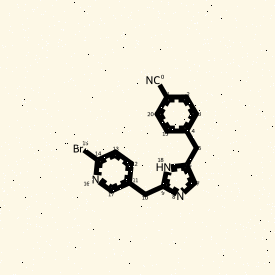 N#Cc1ccc(Cc2cnc(Cc3ccc(Br)nc3)[nH]2)cc1